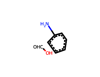 Nc1ccccc1.O=CO